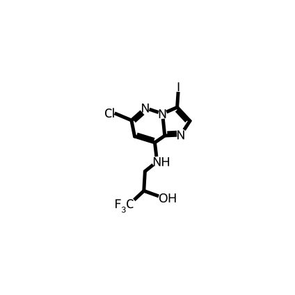 OC(CNc1cc(Cl)nn2c(I)cnc12)C(F)(F)F